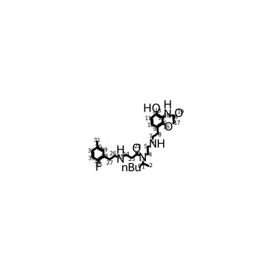 CCCCC(C)N(CCNCCc1ccc(O)c2c1OCC(=O)N2)C(=O)CCNCCc1cc(C)ccc1F